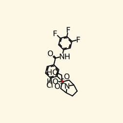 O=C(Nc1cc(F)c(F)c(F)c1)c1ccc(Cl)c(S(=O)(=O)N2C3CCC2CC(O)(CO)C3)c1